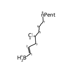 BC=CCCCCCCCCCC.[C]